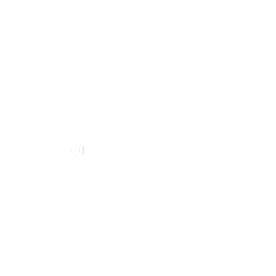 CCCCCC1(O)CC1